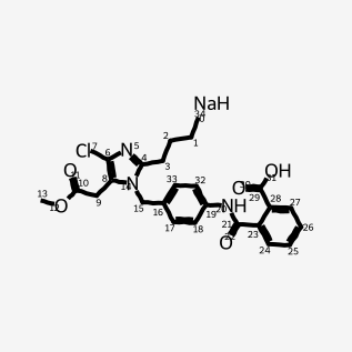 CCCCc1nc(Cl)c(CC(=O)OC)n1Cc1ccc(NC(=O)c2ccccc2C(=O)O)cc1.[NaH]